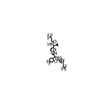 O=C(CCC(F)(F)F)N[C@@H](c1ccn2cc([C@@H](NC(=O)c3cnn(CCC(F)(F)F)c3)C3CCC(F)(F)CC3)nc2n1)C1CC1